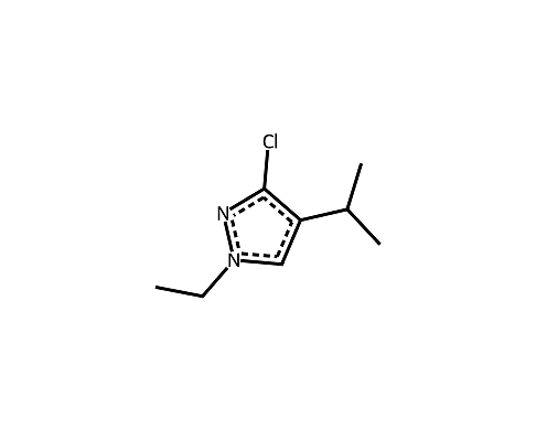 CCn1cc(C(C)C)c(Cl)n1